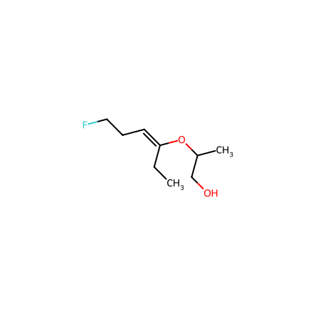 CC/C(=C\CCF)OC(C)CO